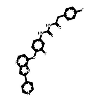 O=C(Cc1ccc(F)cc1)NC(=S)Nc1ccc(Oc2ccnc3cc(-c4ccncc4)sc23)c(F)c1